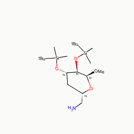 CO[C@H]1O[C@H](CN)C[C@H](O[Si](C)(C)C(C)(C)C)[C@H]1O[Si](C)(C)C(C)(C)C